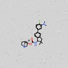 CN(C)c1cc(-c2ccc3c(c2)CC(C)(C)C3NC(=O)O[C@H]2CN3CCC2CC3)ccc1F